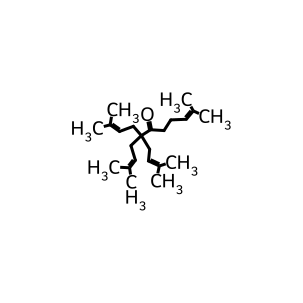 CC(C)=CCCC(=O)C(CC=C(C)C)(CC=C(C)C)CC=C(C)C